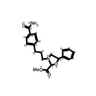 COC(=O)C1OC(c2ccccc2)CN1CCCc1ccc(C(N)=O)cc1